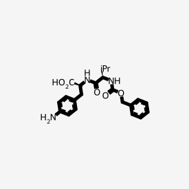 CC(C)[C@H](NC(=O)OCc1ccccc1)C(=O)N[C@@H](Cc1ccc(N)cc1)C(=O)O